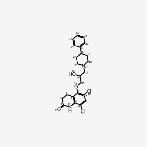 O=C1CCc2c(c(Cl)cc(Cl)c2OCC(O)CN2CCC(c3ccccc3)CC2)N1